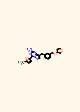 Cc1ccc(-c2nc(N)nc3c(Cc4cccc(COC5CCOC5)c4)cnn23)o1